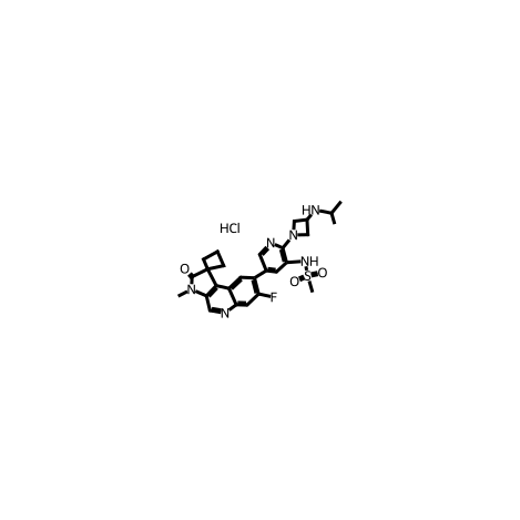 CC(C)NC1CN(c2ncc(-c3cc4c5c(cnc4cc3F)N(C)C(=O)C53CCC3)cc2NS(C)(=O)=O)C1.Cl